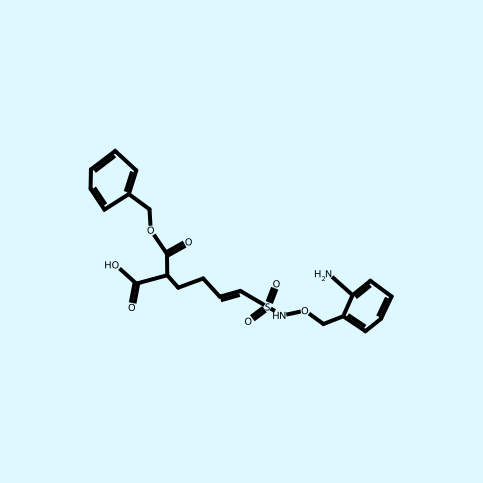 Nc1ccccc1CONS(=O)(=O)/C=C/CCC(C(=O)O)C(=O)OCc1ccccc1